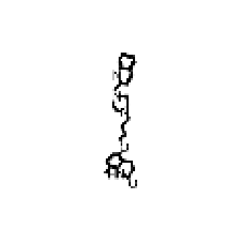 Cc1ccc(OCCCCN2CCN(Cc3ccc4ccccc4n3)CC2)c2c1NC(=O)CC2